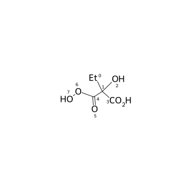 CCC(O)(C(=O)O)C(=O)OO